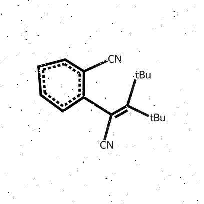 CC(C)(C)C(=C(C#N)c1ccccc1C#N)C(C)(C)C